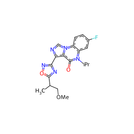 COCC(C)c1nc(-c2ncn3c2c(=O)n(C(C)C)c2cc(F)ccc23)no1